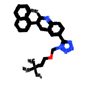 C[Si](C)(C)CCOCn1nnnc1-c1ccc2nc(C=O)c(-c3cccc4ccccc34)cc2c1